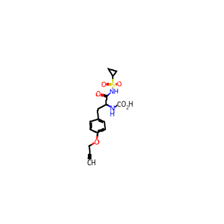 C#CCOc1ccc(CC(NC(=O)O)C(=O)NS(=O)(=O)C2CC2)cc1